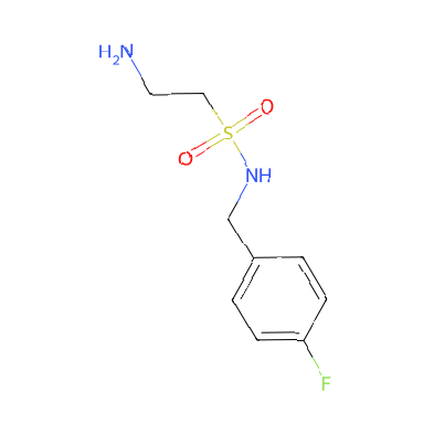 NCCS(=O)(=O)NCc1ccc(F)cc1